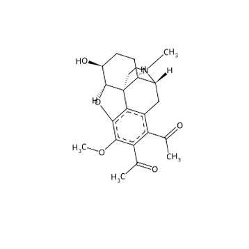 COc1c2c3c(c(C(C)=O)c1C(C)=O)C[C@@H]1[C@@H]4CC[C@H](O)[C@H](O2)[C@]34CCN1C